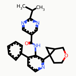 CC(C)c1ncc(C(=O)Nc2c(-c3ccccc3)ccnc2C23CCOCC2C3)cn1